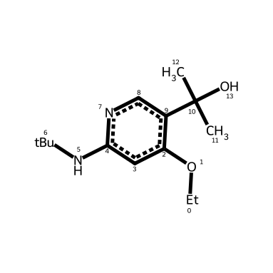 CCOc1cc(NC(C)(C)C)ncc1C(C)(C)O